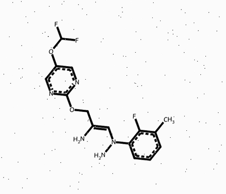 Cc1cccc(N(N)/C=C(\N)COc2ncc(OC(F)F)cn2)c1F